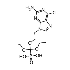 CCOC(OCC)(OCCn1cnc2c(Cl)nc(N)nc21)P(=O)(O)O